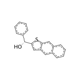 O[C@H](c1ccccc1)c1cc2cc3ccccc3cc2s1